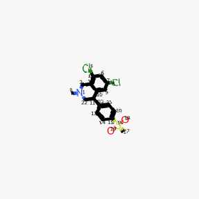 CN1Cc2c(Cl)cc(Cl)cc2C(c2ccc(S(C)(=O)=O)cc2)C1